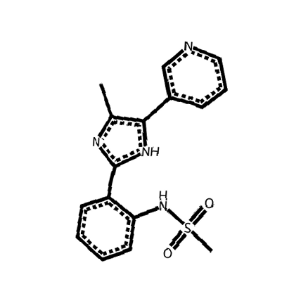 Cc1nc(-c2ccccc2NS(C)(=O)=O)[nH]c1-c1cccnc1